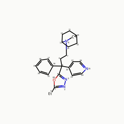 CCc1nnc(C(CCN2CC3CCC2CC3)(c2ccccc2)c2ccncc2)o1